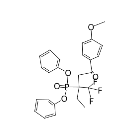 CCC(CC(=O)c1ccc(OC)cc1)(C(F)(F)F)P(=O)(Oc1ccccc1)Oc1ccccc1